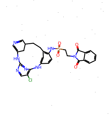 O=C1c2ccccc2C(=O)N1CCS(=O)(=O)Nc1ccc2cc1CCC1C=NC=C(C1)Nc1ncc(Cl)c(n1)N2